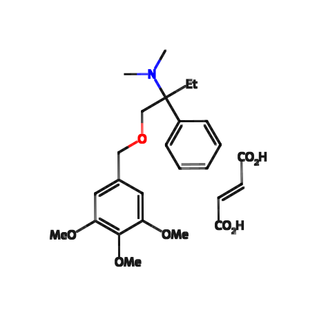 CCC(COCc1cc(OC)c(OC)c(OC)c1)(c1ccccc1)N(C)C.O=C(O)C=CC(=O)O